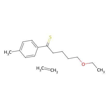 C=C.CCOCCCCC(=S)c1ccc(C)cc1